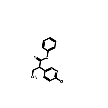 CCC(C(=O)Oc1ccccc1)c1ccc(Cl)nc1